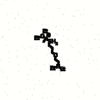 CCOC(C)(OCC)[SiH2]CCCOCCN(CC)CC